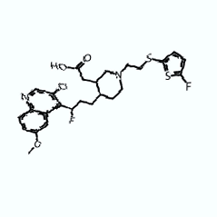 COc1ccc2ncc(Cl)c(C(F)CCC3CCN(CCSc4ccc(F)s4)CC3CC(=O)O)c2c1